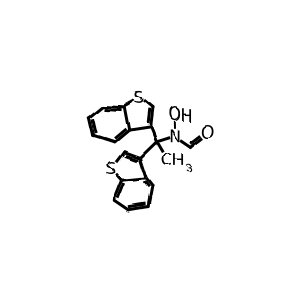 CC(c1csc2ccccc12)(c1csc2ccccc12)N(O)C=O